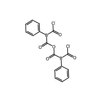 O=C(Cl)B(C(=O)OC(=O)B(C(=O)Cl)c1ccccc1)c1ccccc1